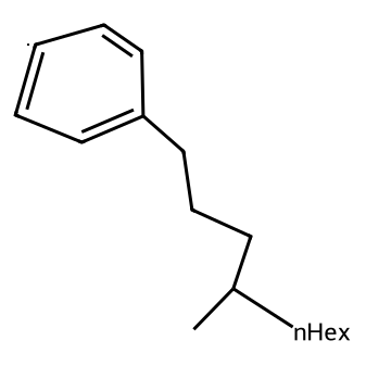 CCCCCCC(C)CCCc1cc[c]cc1